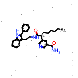 CC(=O)CCCCC[C@H](C(=O)NCCc1c(-c2ccccc2)[nH]c2ccccc12)c1cncc(C(N)=O)c1